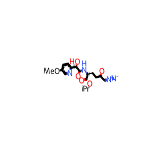 COc1ccc([C@@H](O)C(=O)N[C@@H](CCC(=O)C=[N+]=[N-])C(=O)OC(C)C)nc1